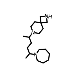 CC(CCC(C)N1CCC2(CC1)CNC2)N1CCCCCC1